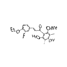 CCOc1ccc(C=CC(=O)c2c(O)c(C)c(O)c(C)c2OC)cc1F